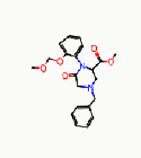 COCOc1ccccc1N1C(=O)CN(Cc2ccccc2)CC1C(=O)OC